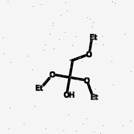 CCO[CH]C(O)(OCC)OCC